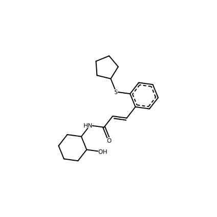 O=C(/C=C/c1ccccc1SC1CCCC1)NC1CCCCC1O